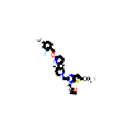 C[C@H]1CN(Cc2nc3cc(C(=O)O)sc3n2C[C@@H]2CCO2)CC[C@]1(C)c1cccc(OCc2ccc(C#N)cc2F)n1